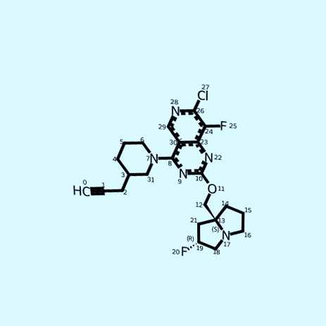 C#CCC1CCCN(c2nc(OC[C@@]34CCCN3C[C@H](F)C4)nc3c(F)c(Cl)ncc23)C1